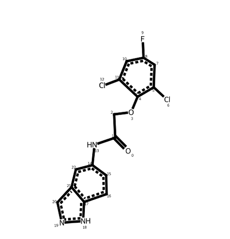 O=C(COc1c(Cl)cc(F)cc1Cl)Nc1ccc2[nH]ncc2c1